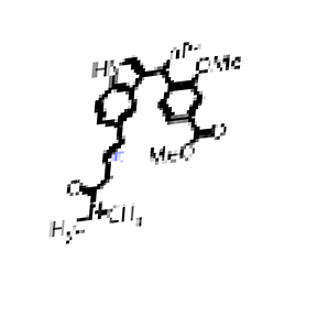 CCCC(c1ccc(C(=O)OC)cc1OC)c1c[nH]c2ccc(/C=C/CC(=O)N(C)C)cc12